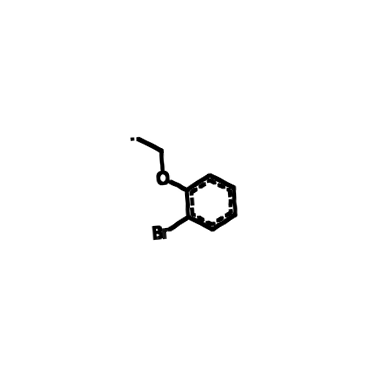 [CH2]COc1ccccc1Br